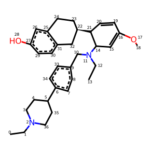 CCN1CCC(c2ccc(CN(CC)C3C=C(OC)C=CC3[C@@H]3CCc4cc(O)ccc4C3)cc2)CC1